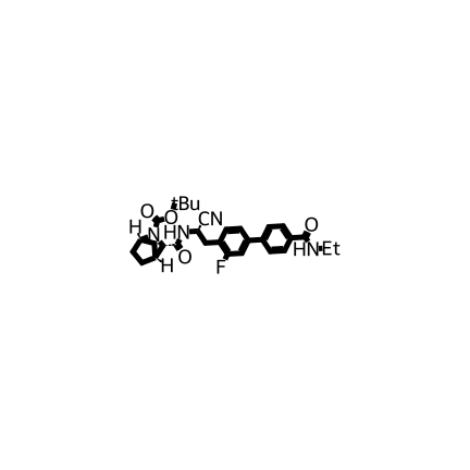 CCNC(=O)c1ccc(-c2ccc(C[C@@H](C#N)NC(=O)[C@@H]3[C@H]4CC[C@H](C4)N3C(=O)OC(C)(C)C)c(F)c2)cc1